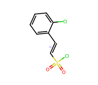 O=S(=O)(Cl)/C=C/c1ccccc1Cl